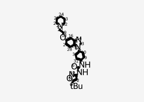 CC(C)(C)c1cc(NC(=O)Nc2ccc(-n3cnc4cc(OCCN5CCCCC5)ccc43)cc2)no1